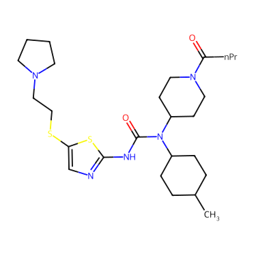 CCCC(=O)N1CCC(N(C(=O)Nc2ncc(SCCN3CCCC3)s2)C2CCC(C)CC2)CC1